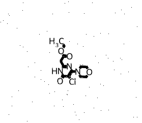 CCOC(=O)Cc1nc(N2CCOCC2)c(Cl)c(=O)[nH]1